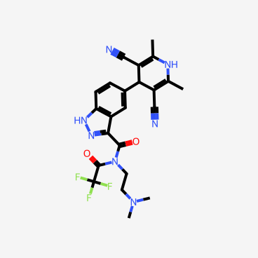 CC1=C(C#N)C(c2ccc3[nH]nc(C(=O)N(CCN(C)C)C(=O)C(F)(F)F)c3c2)C(C#N)=C(C)N1